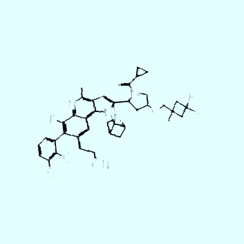 Cc1nc2c(F)c(-c3cccc(Cl)c3Cl)c(CCC#N)cc2c2c1cc(C1CC(OCC3(C)CC(F)(F)C3)CN1C(=O)C1CC1)n2C1C2CNC1C2